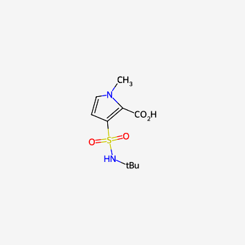 Cn1ccc(S(=O)(=O)NC(C)(C)C)c1C(=O)O